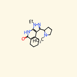 CCn1nc(C2CCCN2C(=O)O)c2c3c(c(=O)[nH]c21)CCCC3